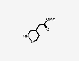 COC(=O)CC1CC[N]NC1